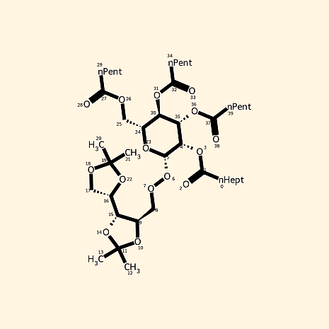 CCCCCCCC(=O)O[C@@H]1[C@H](OOC[C@H]2OC(C)(C)O[C@@H]2[C@@H]2COC(C)(C)O2)O[C@H](COC(=O)CCCCC)[C@@H](OC(=O)CCCCC)[C@@H]1OC(=O)CCCCC